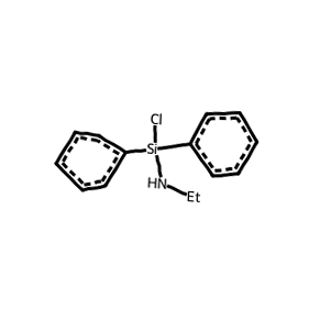 CCN[Si](Cl)(c1ccccc1)c1ccccc1